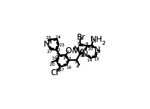 COc1c(C(C)c2nc(Br)c3c(N)nccn23)cc(Cl)c(C)c1-c1cccnc1